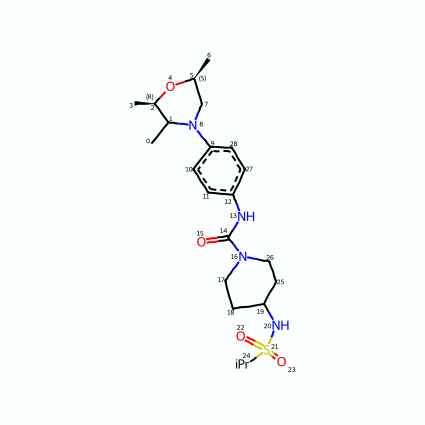 CC1[C@@H](C)O[C@@H](C)CN1c1ccc(NC(=O)N2CCC(NS(=O)(=O)C(C)C)CC2)cc1